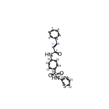 O=C(/C=C/c1ccccc1)Nc1ccc(S(=O)(=O)Nc2nccs2)cc1